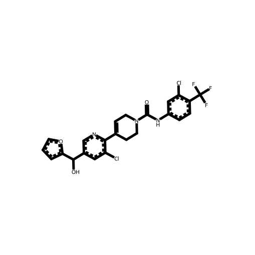 O=C(Nc1ccc(C(F)(F)F)c(Cl)c1)N1CC=C(c2ncc(C(O)c3ccco3)cc2Cl)CC1